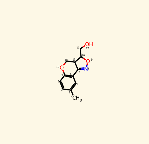 Cc1ccc2c(c1)C1=NOC(CO)C1CO2